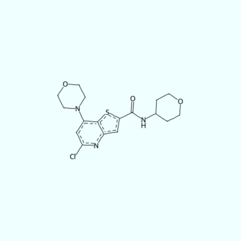 O=C(NC1CCOCC1)c1cc2nc(Cl)cc(N3CCOCC3)c2s1